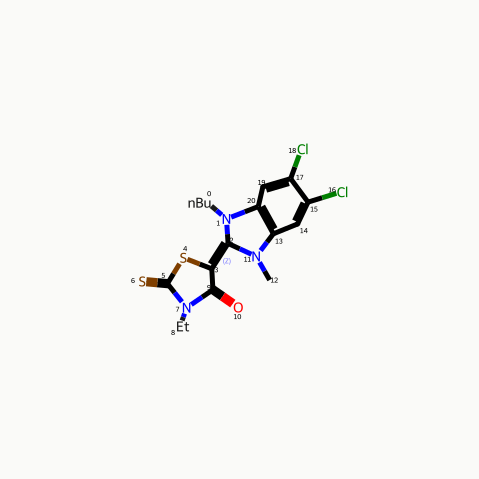 CCCCN1/C(=C2\SC(=S)N(CC)C2=O)N(C)c2cc(Cl)c(Cl)cc21